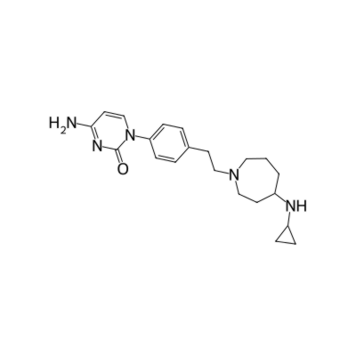 Nc1ccn(-c2ccc(CCN3CCCC(NC4CC4)CC3)cc2)c(=O)n1